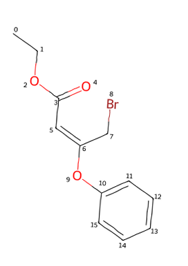 CCOC(=O)/C=C(\CBr)Oc1ccccc1